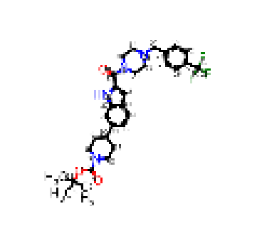 CC(C)(C)OC(=O)N1CCC(c2ccc3cc(C(=O)N4CCN(Cc5ccc(C(F)(F)F)cc5)CC4)[nH]c3c2)CC1